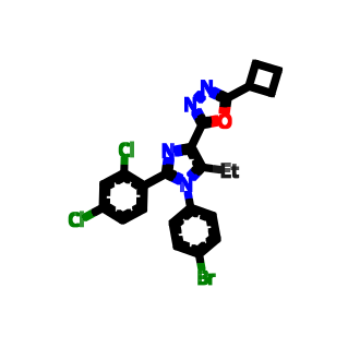 CCc1c(-c2nnc(C3CCC3)o2)nc(-c2ccc(Cl)cc2Cl)n1-c1ccc(Br)cc1